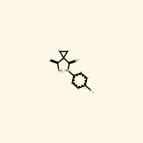 C=C(N)C1(C(=O)Nc2ccc(F)cc2)CC1